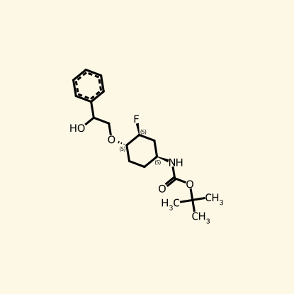 CC(C)(C)OC(=O)N[C@H]1CC[C@H](OCC(O)c2ccccc2)[C@@H](F)C1